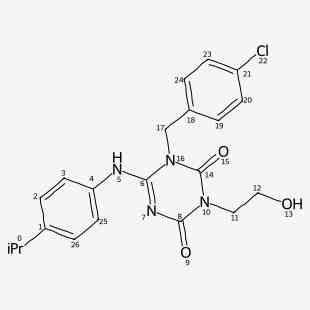 CC(C)c1ccc(Nc2nc(=O)n(CCO)c(=O)n2Cc2ccc(Cl)cc2)cc1